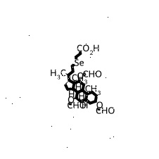 C[C@H](CC[Se]CCC(=O)O)[C@H]1CC[C@H]2[C@@H]3[C@H](OC=O)C[C@@H]4C[C@H](OC=O)CC[C@]4(C)[C@H]3C[C@H](OC=O)[C@]12C